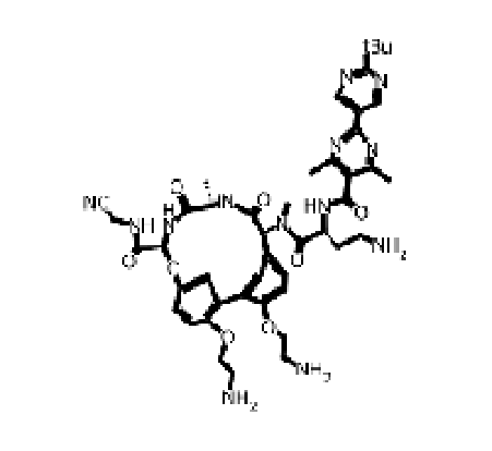 Cc1nc(-c2cnc(C(C)(C)C)nc2)nc(C)c1C(=O)N[C@@H](CCN)C(=O)N(C)[C@@H]1C(=O)N[C@@H](C)C(=O)N[C@H](C(=O)NCC#N)Cc2ccc(OCCN)c(c2)-c2cc1ccc2OCCN